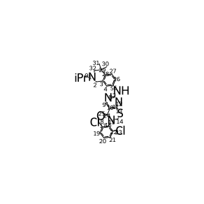 CC(C)N1Cc2cc(Nc3ncc4c(n3)SCN(c3c(Cl)cccc3Cl)C4=O)ccc2C(C)(C)C1